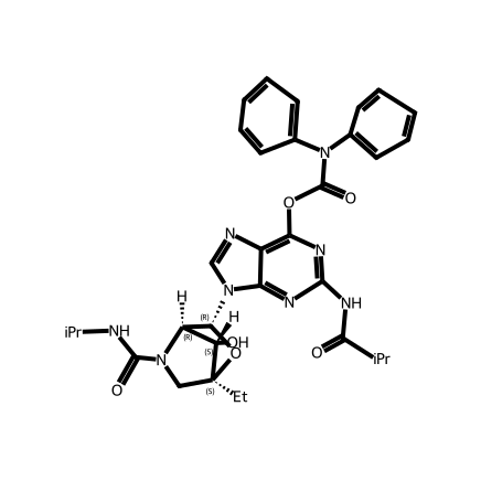 CC[C@@]12CN(C(=O)NC(C)C)[C@@H]([C@H](n3cnc4c(OC(=O)N(c5ccccc5)c5ccccc5)nc(NC(=O)C(C)C)nc43)O1)[C@@H]2O